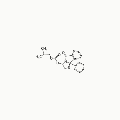 CC(C)COC(=O)OC1CSC2(c3ccccc3)c3ccccc3C(=O)N12